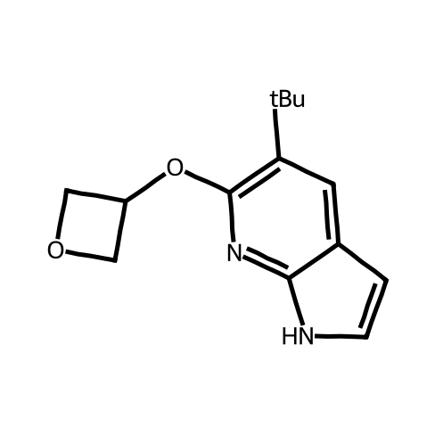 CC(C)(C)c1cc2cc[nH]c2nc1OC1COC1